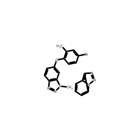 Cc1cc(Br)ccc1Oc1ccc2nnn(C)c2c1.c1cc2c3nnn2c3c1